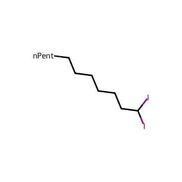 CCCCCCCCCCCC(I)I